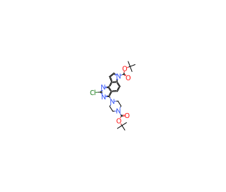 CC(C)(C)OC(=O)N1CCN(c2nc(Cl)nc3c2ccc2c3ccn2C(=O)OC(C)(C)C)CC1